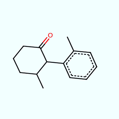 Cc1ccccc1C1C(=O)CCCC1C